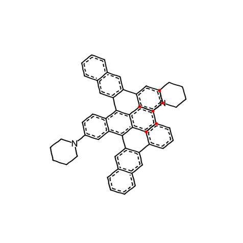 c1ccc(-c2cc3ccccc3cc2-c2c3ccc(N4CCCCC4)cc3c(-c3cc4ccccc4cc3-c3ccccc3)c3ccc(N4CCCCC4)cc23)cc1